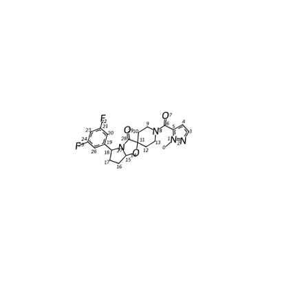 Cn1nccc1C(=O)N1CCC2(CC1)OC1CCC(c3cc(F)cc(F)c3)N1C2=O